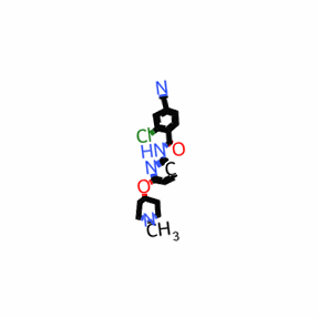 CN1CCC(Oc2cccc(NC(=O)c3ccc(C#N)cc3Cl)n2)CC1